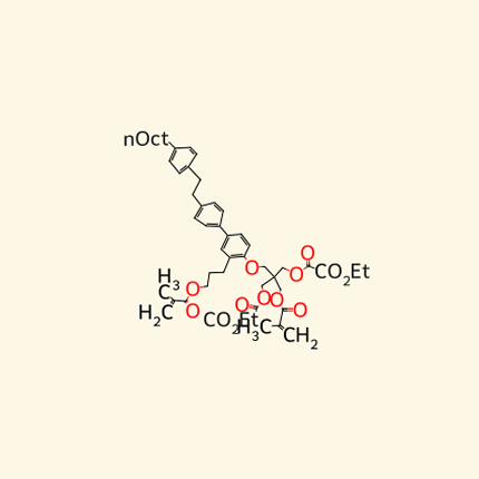 C=C(C)C(=O)OCCCc1cc(-c2ccc(CCc3ccc(CCCCCCCC)cc3)cc2)ccc1OCC(COC(=O)C(=C)C)(COC(=O)C(=O)OCC)COC(=O)C(=O)OCC